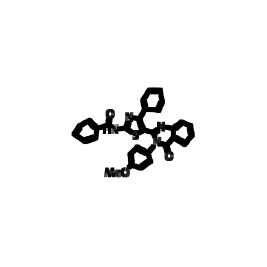 COc1ccc(-n2c(-c3sc(NC(=O)c4ccccc4)nc3-c3ccccc3)nc3ccccc3c2=O)cc1